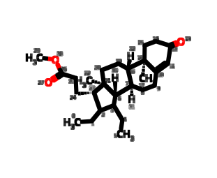 CCC1C(CC)[C@H]2[C@@H]3CCC4=CC(=O)CC[C@]4(C)[C@H]3CC[C@]2(C)[C@H]1CCC(=O)OC